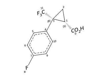 O=C(O)[C@H]1C[C@@]1(c1ccc(F)cc1)C(F)(F)F